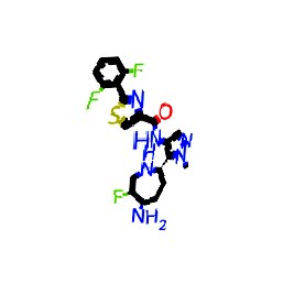 Cn1ncc(NC(=O)c2csc(-c3c(F)cccc3F)n2)c1[C@@H]1CC[C@@H](N)[C@@H](F)CN1